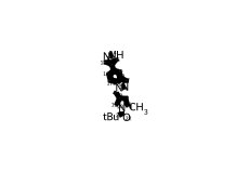 C[C@@H]1CC(Cn2ncc3cc(-c4cn[nH]c4)ccc32)CN1C(=O)C(C)(C)C